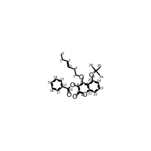 CCC=CCCOc1c(OC(=O)c2ccccc2)c(=O)oc2cccc(OC(C)(C)C)c12